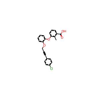 Cc1c(Oc2ccccc2OCC#Cc2ccc(Cl)cc2)cccc1C(=O)O